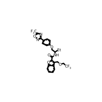 CCC(COc1ccc(-c2noc(C(F)(F)F)n2)cc1)NC(=O)c1oc2ccccc2c1COCC(F)(F)F